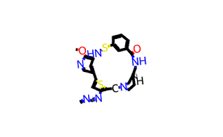 C=N/C=N\c1cc2sc1CN1CC[C@H](CNC(=O)c3cccc(c3)SNc3cc-2cnc3OC)C1